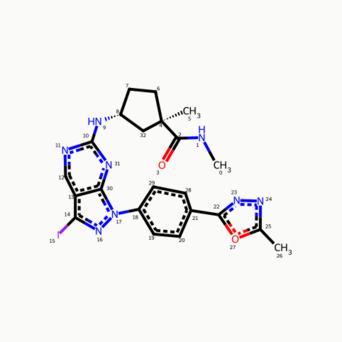 CNC(=O)[C@]1(C)CC[C@@H](Nc2ncc3c(I)nn(-c4ccc(-c5nnc(C)o5)cc4)c3n2)C1